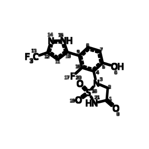 O=C1CN(c2c(O)ccc(-c3cc(C(F)(F)F)n[nH]3)c2F)S(=O)(=O)N1